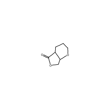 O=C1OCC2OCCCC12